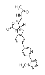 CC(=O)NC[C@@H]1OC(=O)N2c3ccc(-c4ccc(-c5nnnn5C)nc4)cc3C[C@@H]12